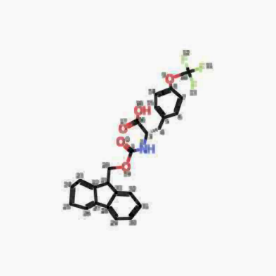 O=C(N[C@@H](Cc1ccc(OC(F)(F)F)cc1)C(=O)O)OCC1c2ccccc2-c2ccccc21